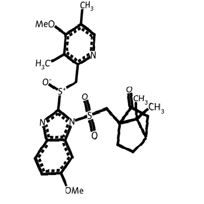 COc1ccc2nc([S+]([O-])Cc3ncc(C)c(OC)c3C)n(S(=O)(=O)CC34CCC(CC3=O)C4(C)C)c2c1